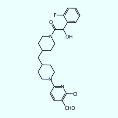 O=Cc1ccc(N2CCC(CC3CCN(C(=O)C(O)c4ccccc4F)CC3)CC2)nc1Cl